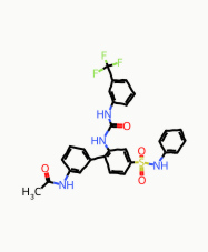 CC(=O)Nc1cccc(-c2ccc(S(=O)(=O)Nc3ccccc3)cc2NC(=O)Nc2cccc(C(F)(F)F)c2)c1